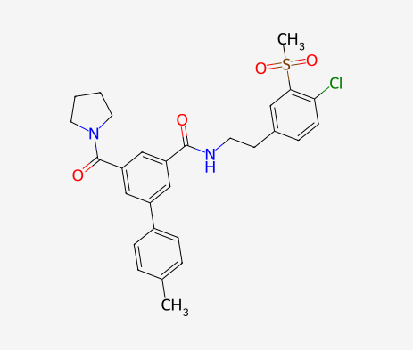 Cc1ccc(-c2cc(C(=O)NCCc3ccc(Cl)c(S(C)(=O)=O)c3)cc(C(=O)N3CCCC3)c2)cc1